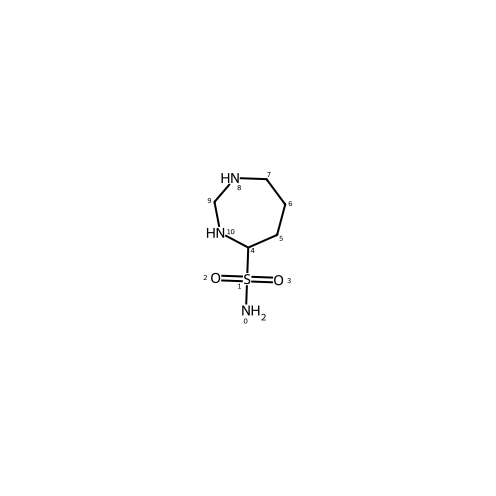 NS(=O)(=O)C1CCCNCN1